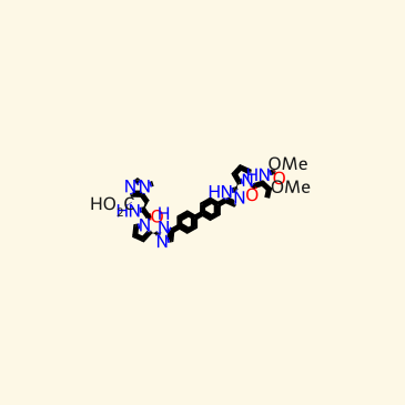 COC(=O)N[C@H](C(=O)N1CCC[C@H]1c1ncc(-c2ccc(-c3ccc(-c4cnc([C@@H]5CCCN5C(=O)[C@H](Cc5cncn5C)NC(=O)O)[nH]4)cc3)cc2)[nH]1)[C@@H](C)OC